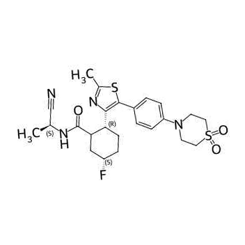 Cc1nc([C@@H]2CC[C@H](F)CC2C(=O)N[C@@H](C)C#N)c(-c2ccc(N3CCS(=O)(=O)CC3)cc2)s1